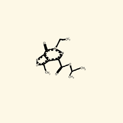 CCn1nc(C(=O)OC(C)C)c2c(C)onc2c1=O